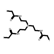 O=C(CI)NCCN(CCNC(=O)CI)CCNC(=O)CI